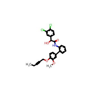 CCC#CCOc1ccc(-c2ccccc2NC(=O)C(O)c2ccc(Cl)c(Cl)c2)cc1OC